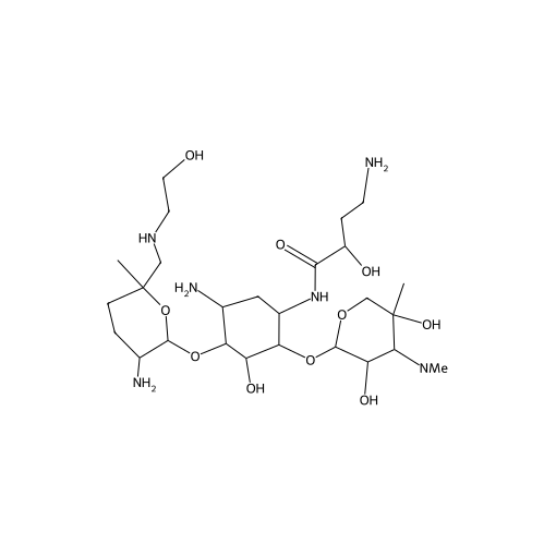 CNC1C(O)C(OC2C(NC(=O)C(O)CCN)CC(N)C(OC3OC(C)(CNCCO)CCC3N)C2O)OCC1(C)O